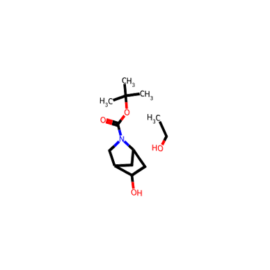 CC(C)(C)OC(=O)N1CC2CC1CC2O.CCO